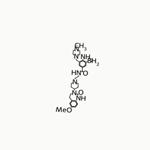 Bc1cc(C(=O)NCCN2CCC(N3CCc4cc(OC)ccc4NC3=O)CC2)cc(CN2CCN(C)CC2)c1N